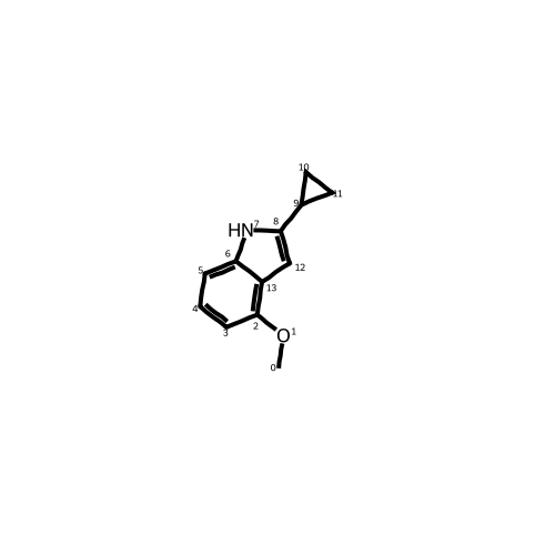 COc1cccc2[nH]c(C3CC3)cc12